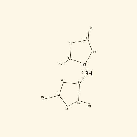 CC1CC(C)C(BC2CC(C)CC2C)C1